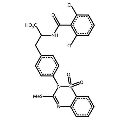 CSC1=Nc2ccccc2S(=O)(=O)N1c1ccc(CC(NC(=O)c2c(Cl)cccc2Cl)C(=O)O)cc1